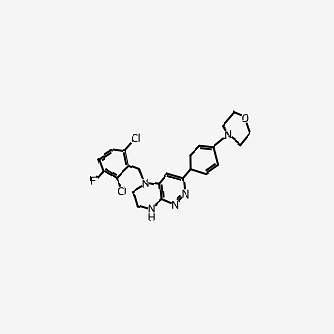 Fc1ccc(Cl)c(CN2CCNc3nnc(C4C=CC(N5CCOCC5)=CC4)cc32)c1Cl